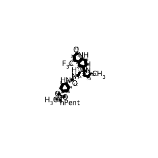 CCCCCN(C)S(=O)(=O)c1ccc(NC(=O)NCC[C@@]2(c3ccc4[nH]c(=O)cc(C(F)(F)F)c4c3)CC[C@@H](C)N2)cc1